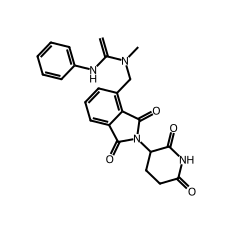 C=C(Nc1ccccc1)N(C)Cc1cccc2c1C(=O)N(C1CCC(=O)NC1=O)C2=O